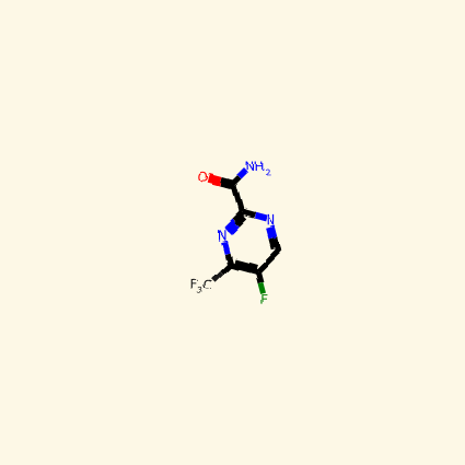 NC(=O)c1ncc(F)c(C(F)(F)F)n1